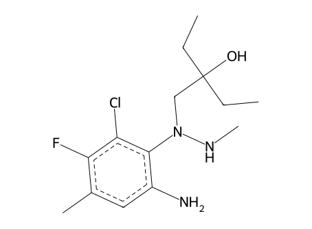 CCC(O)(CC)CN(NC)c1c(N)cc(C)c(F)c1Cl